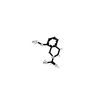 COc1cccc2c1CN(C(=O)O)CC2